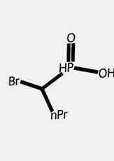 CCCC(Br)[PH](=O)O